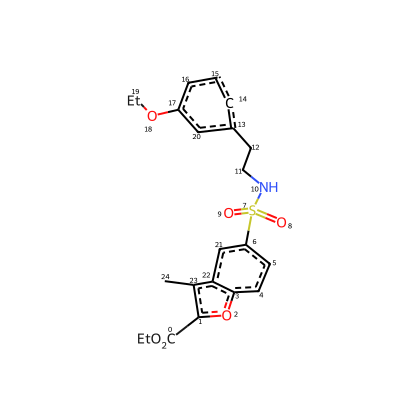 CCOC(=O)c1oc2ccc(S(=O)(=O)NCCc3cccc(OCC)c3)cc2c1C